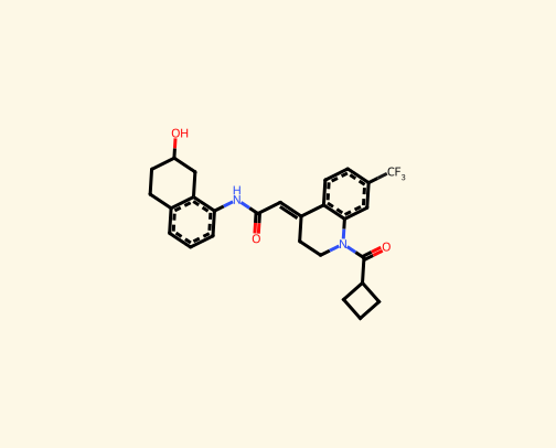 O=C(/C=C1\CCN(C(=O)C2CCC2)c2cc(C(F)(F)F)ccc21)Nc1cccc2c1CC(O)CC2